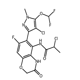 CC(Cl)C(=O)Nc1c2c(cc(F)c1-c1nn(C)c(OC(F)F)c1Cl)OCC(=O)N2